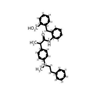 CC(C(=O)Nc1ccccc1Cc1ccccc1C(=O)O)c1ccc(N(C)CCc2ccccc2)cc1